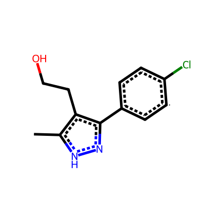 Cc1[nH]nc(-c2c[c]c(Cl)cc2)c1CCO